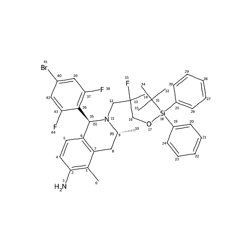 Cc1c(N)ccc2c1C[C@@H](C)N(CC(C)(F)CO[Si](c1ccccc1)(c1ccccc1)C(C)(C)C)[C@@H]2c1c(F)cc(Br)cc1F